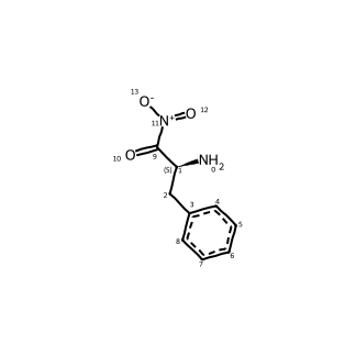 N[C@@H](Cc1ccccc1)C(=O)[N+](=O)[O-]